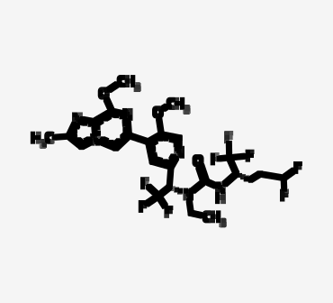 CCN(C(=O)N[C@@H](CCC(F)F)C(F)(F)F)[C@@H](c1cc(-c2cn3cc(C)nc3c(OC)n2)c(OC)cn1)C(F)(F)F